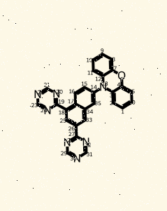 c1ccc2c(c1)Oc1ccccc1N2c1ccc2c(-c3ncncn3)cc(-c3ncncn3)cc2c1